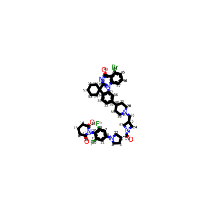 O=C([C@@H]1CCN(c2cc(F)c(N3C(=O)CCCC3=O)c(F)c2)C1)N1CC(CN2CCC(c3ccc4c(c3)-n3c(nc(=O)c5c(Br)cccc53)C43CCCCC3)CC2)C1